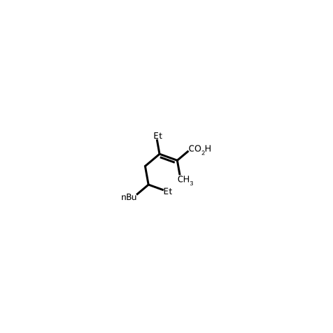 CCCCC(CC)CC(CC)=C(C)C(=O)O